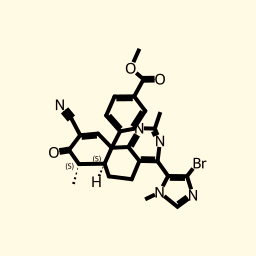 COC(=O)c1ccc(C23C=C(C#N)C(=O)[C@@H](C)[C@@H]2CCc2c(-c4c(Br)ncn4C)nc(C)nc23)cc1